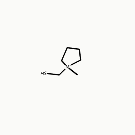 C[N+]1(CS)CCCC1